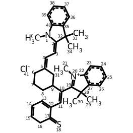 CN1C(=CC=C2CCCC(C(=CC3=CC=CCC3=S)C3=[N+](C)c4ccccc4C3(C)C)C2)C(C)(C)c2ccccc21.[Cl-]